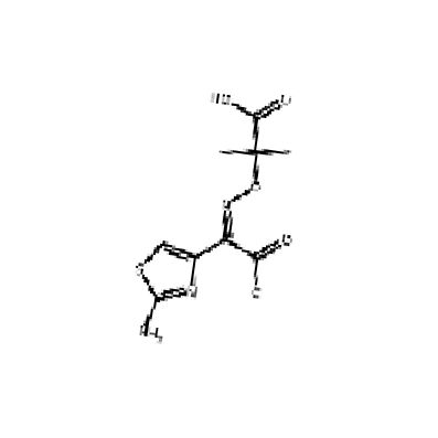 CC(C)(ON=C(C(=O)Cl)c1csc(N)n1)C(=O)O